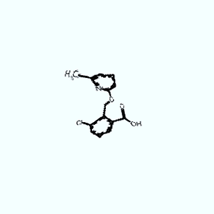 Cc1cccc(OCc2c(Cl)cccc2C(=O)O)n1